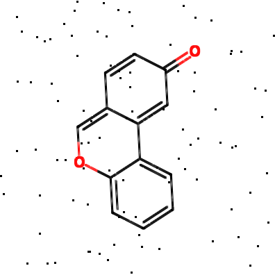 O=c1ccc2coc3ccccc3c-2c1